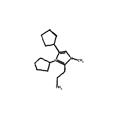 Cn1cc(C2CCCC2)[n+](C2CCCC2)c1CCP